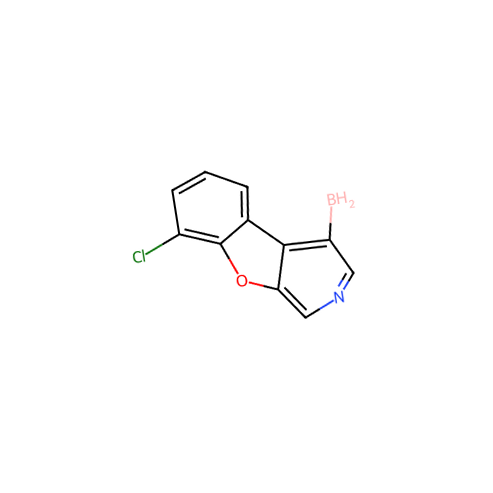 Bc1cncc2oc3c(Cl)cccc3c12